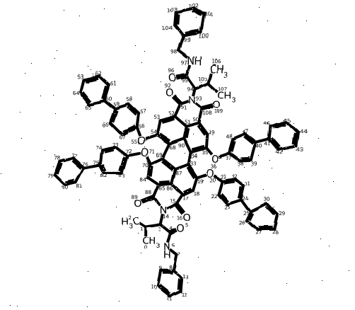 CC(C)C(C(=O)NCc1ccccc1)N1C(=O)c2cc(Oc3ccc(-c4ccccc4)cc3)c3c4c(Oc5ccc(-c6ccccc6)cc5)cc5c6c(cc(Oc7ccc(-c8ccccc8)cc7)c(c7c(Oc8ccc(-c9ccccc9)cc8)cc(c2c37)C1=O)c64)C(=O)N(C(C(=O)NCc1ccccc1)C(C)C)C5=O